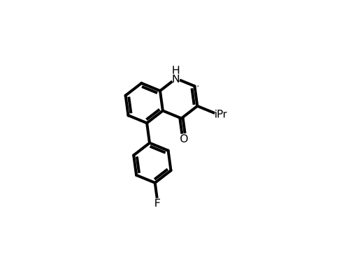 CC(C)c1[c][nH]c2cccc(-c3ccc(F)cc3)c2c1=O